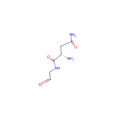 NC(=O)C[C@H](N)C(=O)NC[C]=O